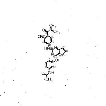 CC(=O)Nc1cccc(Oc2nc(Nc3ccc(C(=O)N(C)C)c(Cl)c3)nc3ccsc23)c1